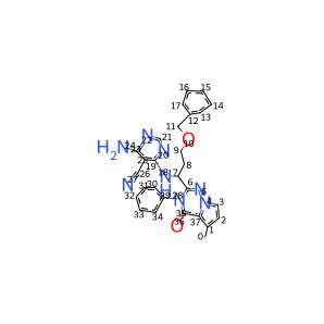 Cc1ccn2nc(C(CCOCc3ccccc3)Nc3ncnc(N)c3C#N)n(-c3ccccc3)c(=O)c12